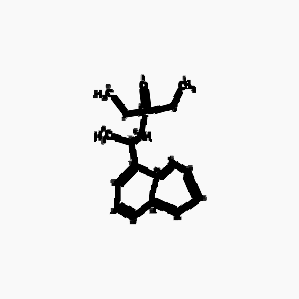 CCP(=O)(CC)NC(C)c1cccc2ccccc12